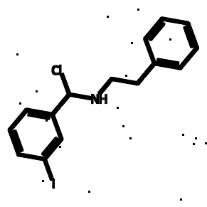 ClC(NCCc1ccccc1)c1cccc(I)c1